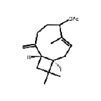 C=C1CCC(OC(C)=O)/C(C)=C/C[C@@H]2[C@@H]1CC2(C)C